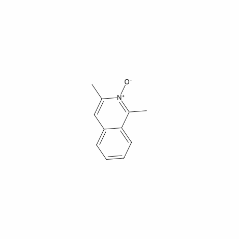 Cc1cc2ccccc2c(C)[n+]1[O-]